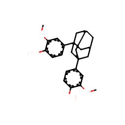 COc1cc(C23CC4CC(C2)CC(c2ccc(O)c(OC)c2)(C4)C3)ccc1O